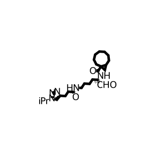 CC(C)n1cc(CCC(=O)NCCCC[C@@H](C=O)NC(=O)C23CCCCCCCC2C3)nn1